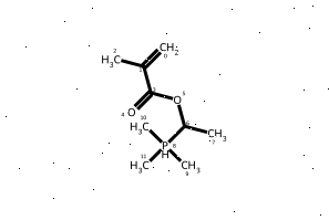 C=C(C)C(=O)OC(C)[PH](C)(C)C